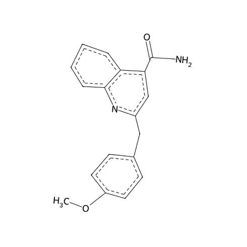 COc1ccc(Cc2cc(C(N)=O)c3ccccc3n2)cc1